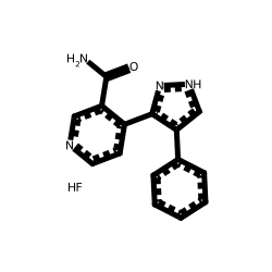 F.NC(=O)c1cnccc1-c1n[nH]cc1-c1ccccc1